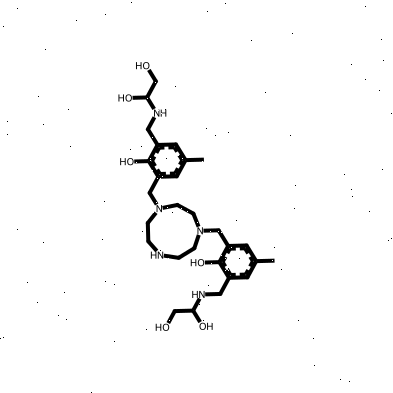 Cc1cc(CNC(O)CO)c(O)c(CN2CCNCCN(Cc3cc(C)cc(CNC(O)CO)c3O)CC2)c1